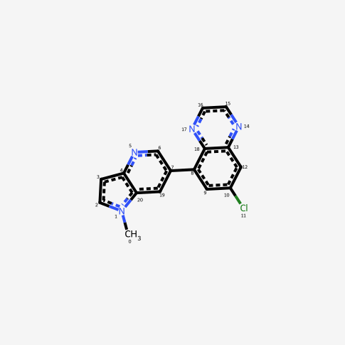 Cn1ccc2ncc(-c3cc(Cl)cc4nccnc34)cc21